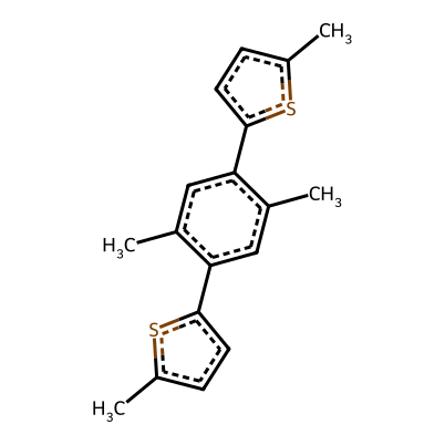 Cc1ccc(-c2cc(C)c(-c3ccc(C)s3)cc2C)s1